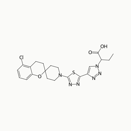 CCC(C(=O)O)n1cc(-c2nnc(N3CCC4(CCc5c(Cl)cccc5O4)CC3)s2)nn1